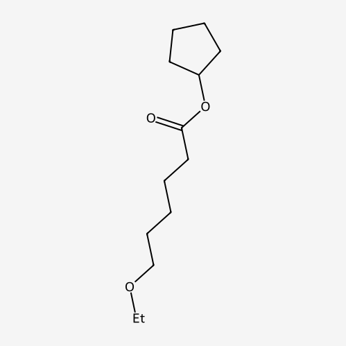 CCOCCCCCC(=O)OC1CCCC1